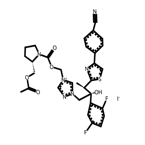 CC(=O)OC[C@@H]1CCCN1C(=O)OC[n+]1cnn(C[C@](O)(c2cc(F)ccc2F)[C@@H](C)c2nc(-c3ccc(C#N)cc3)cs2)c1.[I-]